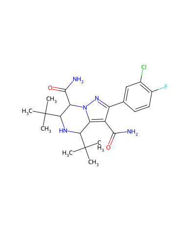 CC(C)(C)C1NC(C(C)(C)C)C(C(N)=O)n2nc(-c3ccc(F)c(Cl)c3)c(C(N)=O)c21